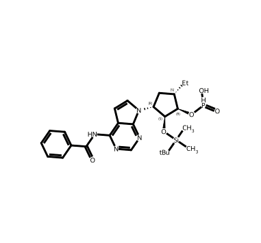 CC[C@H]1C[C@@H](n2ccc3c(NC(=O)c4ccccc4)ncnc32)[C@H](O[Si](C)(C)C(C)(C)C)[C@@H]1O[PH](=O)O